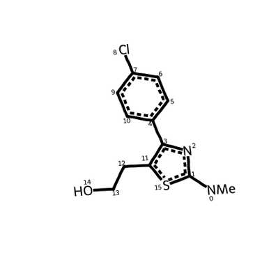 CNc1nc(-c2ccc(Cl)cc2)c(CCO)s1